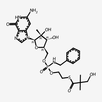 CC(C)(CO)C(=O)SCCOP(=O)(NCc1ccccc1)OC[C@H]1O[C@@H](n2cnc3c(=O)[nH]c(N)cc32)[C@](C)(O)[C@@H]1O